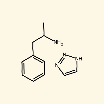 CC(N)Cc1ccccc1.c1c[nH]nn1